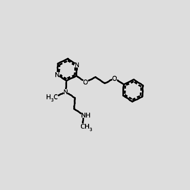 CNCCN(C)c1nccnc1OCCOc1ccccc1